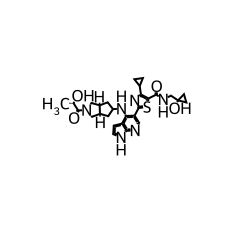 C[C@H](O)C(=O)N1C[C@H]2CC(Nc3c(-c4nc(C5CC5)c(C(=O)NCC5(O)CC5)s4)cnc4[nH]ccc34)C[C@H]2C1